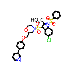 O=C(O)c1c(S(=O)(=O)N2CCOC(COc3ccc(-c4cccnc4)cc3)C2)c2cc(Cl)ccc2n1S(=O)(=O)c1ccccc1